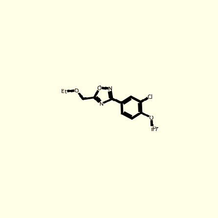 CCOCc1nc(-c2ccc(OC(C)C)c(Cl)c2)no1